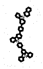 c1ccc2cc(-n3c4ccccc4c4cc(-c5ccc(-c6ccc7c(c6)c6ccccc6n7-c6ccc(-c7cc8c9ccccc9n9c%10ccccc%10c(c7)c89)cc6)cc5)ccc43)ccc2c1